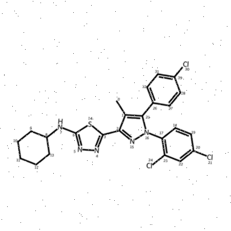 Cc1c(-c2nnc(NC3CCCCC3)s2)nn(-c2ccc(Cl)cc2Cl)c1-c1ccc(Cl)cc1